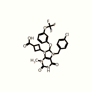 Cn1c2c(c(=O)[nH]c1=O)N(Cc1ccc(Cl)cc1)C(Oc1cccc(OC(F)(F)F)c1)N2C1CC(C(=O)O)C1